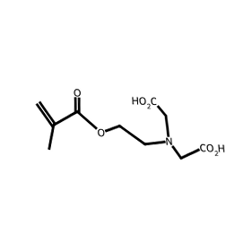 C=C(C)C(=O)OCCN(CC(=O)O)CC(=O)O